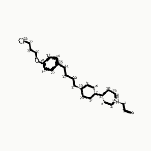 CCC[Si@H]1CC[C@H]([C@H]2CC[C@H](CCCCc3ccc(OCCCCl)cc3)CC2)CC1